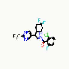 O=C(NCC(c1cnc(C(F)(F)F)nc1)C1CCC(F)(F)CC1)c1c(F)cccc1Cl